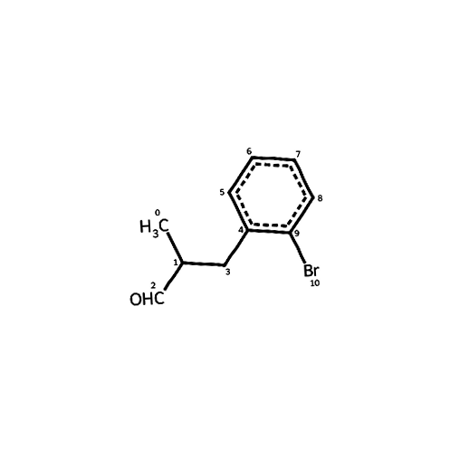 CC(C=O)Cc1ccccc1Br